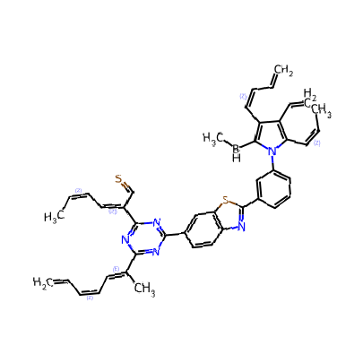 C=C/C=C\C=C(/C)c1nc(/C(C=S)=C/C=C\C)nc(-c2ccc3nc(-c4cccc(-n5c(BC)c(/C=C\C=C)c(C=C)c5/C=C\C)c4)sc3c2)n1